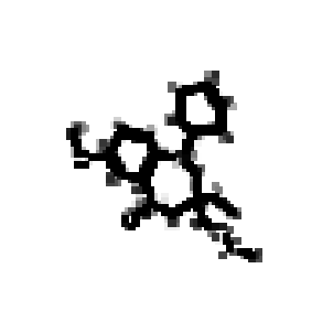 CCCCC1(CC)CN(c2ccccc2)c2ccc(OC)cc2[S+]([O-])C1